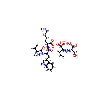 CC(C)C(N)C(=O)NC(Cc1c[nH]c2ccccc12)C(=O)NC(CCCCN)C(=O)O.CCC(C)C(N)C(=O)O.NC(CO)C(=O)O